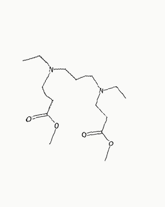 CCN(CCCN(CC)CCC(=O)OC)CCC(=O)OC